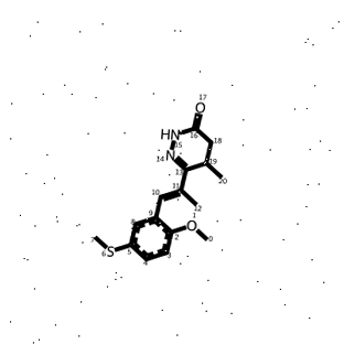 COc1ccc(SC)cc1C=C(C)C1=NNC(=O)CC1C